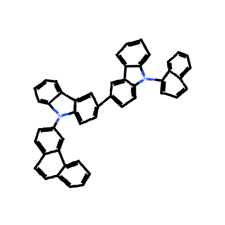 c1ccc2c(-n3c4ccccc4c4cc(-c5ccc6c(c5)c5ccccc5n6-c5ccc6ccc7ccccc7c6c5)ccc43)cccc2c1